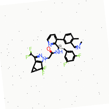 C/N=C\c1cc(-c2cccnc2[C@H](Cc2cc(F)cc(F)c2)NC(=O)Cn2nc(C(F)F)c3c2C(F)(F)C2CC32)ccc1C